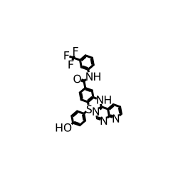 O=C(Nc1cccc(C(F)(F)F)c1)c1ccc(Sc2ccc(O)cc2)c(Nc2ncnc3ncccc23)c1